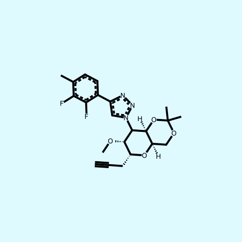 C#CC[C@H]1O[C@@H]2COC(C)(C)O[C@@H]2C(n2cc(-c3ccc(C)c(F)c3F)nn2)[C@H]1OC